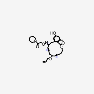 C=CCOC1/C=C/CCOC(=O)c2c(C)cc(O)cc2CC(=N/OCC(=O)N2CCCCC2)/C=C/C1